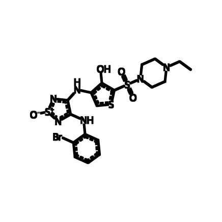 CCN1CCN(S(=O)(=O)c2scc(Nc3n[s+]([O-])nc3Nc3ccccc3Br)c2O)CC1